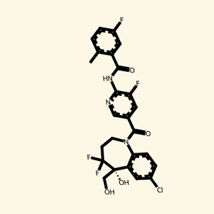 Cc1ccc(F)cc1C(=O)Nc1ncc(C(=O)N2CCC(F)(F)[C@](O)(CO)c3cc(Cl)ccc32)cc1F